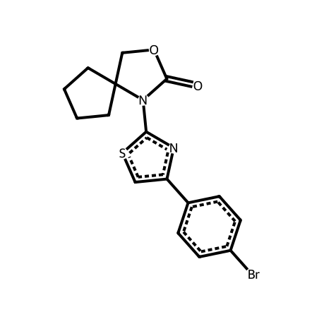 O=C1OCC2(CCCC2)N1c1nc(-c2ccc(Br)cc2)cs1